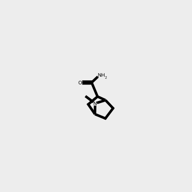 CN1C2CCC1C(C(N)=O)C2